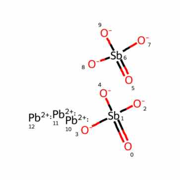 [O]=[Sb]([O-])([O-])[O-].[O]=[Sb]([O-])([O-])[O-].[Pb+2].[Pb+2].[Pb+2]